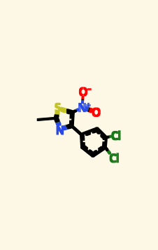 Cc1nc(-c2ccc(Cl)c(Cl)c2)c([N+](=O)[O-])s1